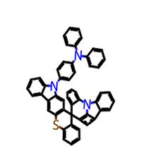 c1ccc(N(c2ccccc2)c2ccc(-n3c4ccccc4c4cc5c(cc43)C3(c4ccccc4S5)c4ccccc4-n4c5ccccc5c5cccc3c54)cc2)cc1